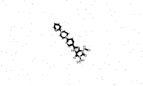 CCNn1c(=O)c2[nH]c(-c3ccc(N4CCN(c5ccccn5)CC4)nc3)nc2n(NCC)c1=O